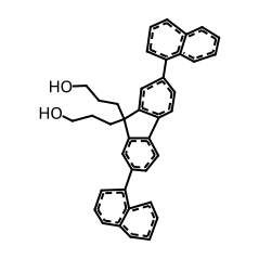 OCCCC1(CCCO)c2cc(-c3cccc4ccccc34)ccc2-c2ccc(-c3cccc4ccccc34)cc21